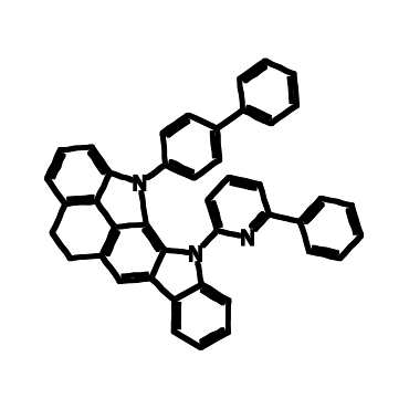 c1ccc(-c2ccc(-n3c4cccc5c4c4c(cc6c7ccccc7n(-c7cccc(-c8ccccc8)n7)c6c43)CC5)cc2)cc1